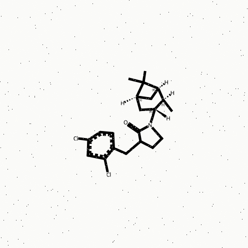 C[C@H]1[C@H](N2CCC(Cc3ccc(Cl)cc3Cl)C2=O)C[C@@H]2C[C@H]1C2(C)C